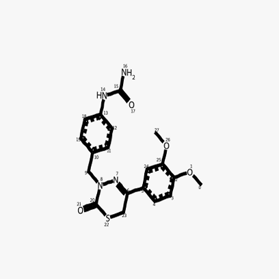 COc1ccc(C2=NN(Cc3ccc(NC(N)=O)cc3)C(=O)SC2)cc1OC